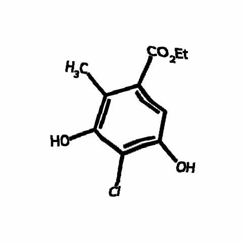 CCOC(=O)c1cc(O)c(Cl)c(O)c1C